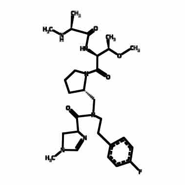 CN[C@@H](C)C(=O)N[C@H](C(=O)N1CCC[C@H]1CN(CCc1ccc(F)cc1)C(=O)C1CN(C)C=N1)[C@@H](C)OC